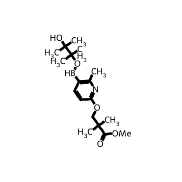 COC(=O)C(C)(C)COc1ccc(BOC(C)(C)C(C)(C)O)c(C)n1